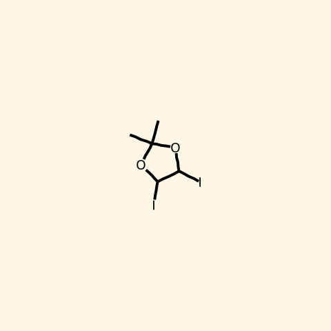 CC1(C)OC(I)C(I)O1